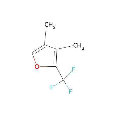 Cc1coc(C(F)(F)F)c1C